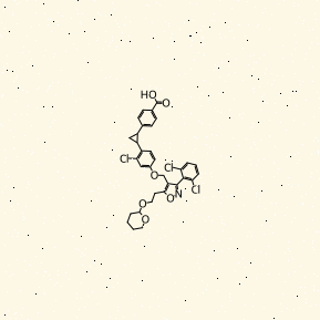 O=C(O)c1ccc(C2CC2c2ccc(OCc3c(-c4c(Cl)cccc4Cl)noc3CCOC3CCCCO3)cc2Cl)cc1